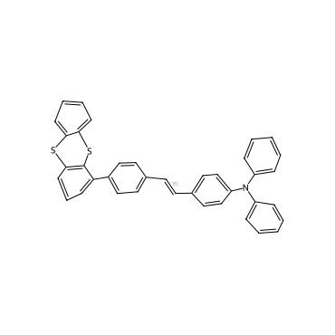 C(=C\c1ccc(N(c2ccccc2)c2ccccc2)cc1)/c1ccc(-c2cccc3c2Sc2ccccc2S3)cc1